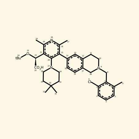 Cc1cccc(Cl)c1CN1CCc2cc(-c3c(C)nc(C)c([C@H](OC(C)(C)C)C(=O)O)c3N3CCC(C)(C)CC3)ccc2C1